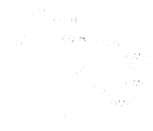 COC(=O)c1ccc2c(c1C(=O)OC)C(=O)c1ccccc1C2=O.COC(=O)c1cccc2c1C(=O)c1ccccc1C2=O.O=C(O)c1ccc2c(c1C(=O)O)C(=O)c1ccccc1C2=O